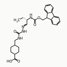 CC[C@@H](/C=N/NC(=O)NCC1CCC(C(=O)O)CC1)NC(=O)OCC1c2ccccc2-c2ccccc21